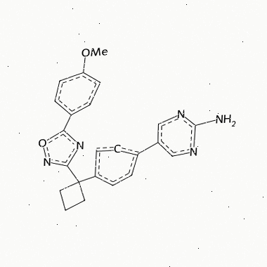 COc1ccc(-c2nc(C3(c4ccc(-c5cnc(N)nc5)cc4)CCC3)no2)cc1